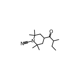 CCC(C)C(=O)C1CC(C)(C)N(C#N)C(C)(C)C1